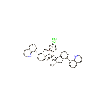 CC1=Cc2c(-c3cccc4cccnc34)cccc2[CH]1[Zr]([CH3])(=[SiH2])([c]1ccccc1)[CH]1C(C)=Cc2c(-c3cccc4cccnc34)cccc21.Cl.Cl